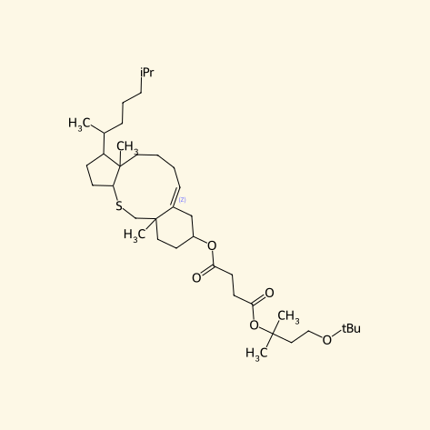 CC(C)CCCC(C)C1CCC2SCC3(C)CCC(OC(=O)CCC(=O)OC(C)(C)CCOC(C)(C)C)C/C3=C/CCCC21C